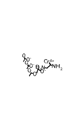 CC(=O)[O-].CC(=O)[O-].CC(=O)[O-].CC(=O)[O-].NC[CH](N)[Cr+4]